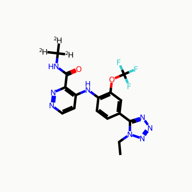 [2H]C([2H])([2H])NC(=O)c1nnccc1Nc1ccc(-c2nnnn2CC)cc1OC(F)(F)F